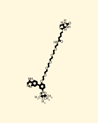 CC1(C)OB(c2ccc(OCCOCCOCCOCCOCCOCCNC(=O)CCCC[C@@H]3SC[C@@H]4NC(=O)N[C@@H]43)c(-c3ccc4c(N)cnnc4c3)c2)OC1(C)C